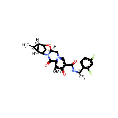 COc1c2n(cc(C(=O)N[C@@H](c3ccc(F)cc3F)C(F)(F)F)c1=O)C[C@@H]1OC3CC([C@H]4[C@@H](C)[C@@H]34)N1C2=O